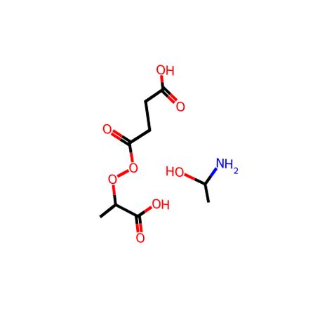 CC(N)O.CC(OOC(=O)CCC(=O)O)C(=O)O